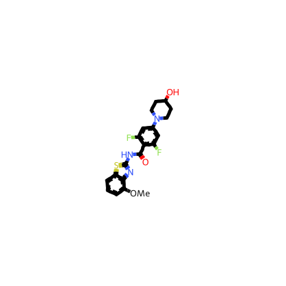 COc1cccc2sc(NC(=O)c3c(F)cc(N4CCC(O)CC4)cc3F)nc12